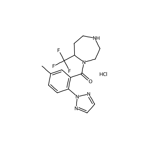 Cc1ccc(-n2nccn2)c(C(=O)N2CCNCCC2C(F)(F)F)c1.Cl